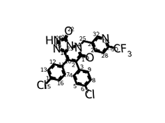 O=c1c(-c2ccc(Cl)cc2)c(-c2ccc(Cl)cc2)c2n[nH]c(=O)n2n1Cc1ccc(C(F)(F)F)nc1